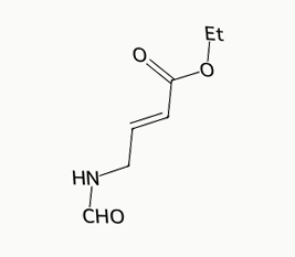 CCOC(=O)C=CCNC=O